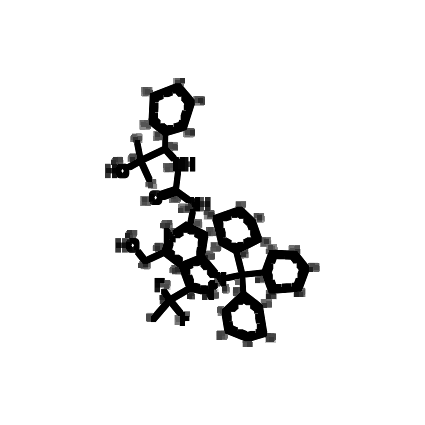 CC(F)(F)c1nn(C(c2ccccc2)(c2ccccc2)c2ccccc2)c2cc(NC(=O)NC(c3ccccc3)C(C)(C)O)nc(CO)c12